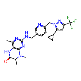 Cc1nc(NCc2ccc(Cn3nc(C(F)(F)F)cc3C3CC3)nc2)nc2c1NC(=O)C(C)N2C